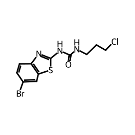 O=C(NCCCCl)Nc1nc2ccc(Br)cc2s1